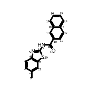 Cc1ccc2nc(NC(=O)c3ccc4ccccc4c3)sc2c1